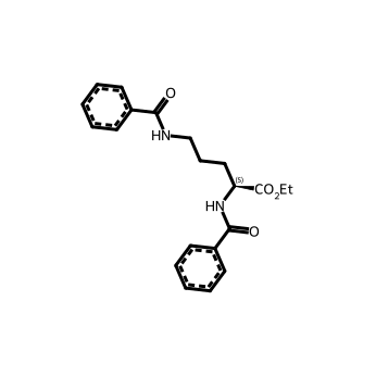 CCOC(=O)[C@H](CCCNC(=O)c1ccccc1)NC(=O)c1ccccc1